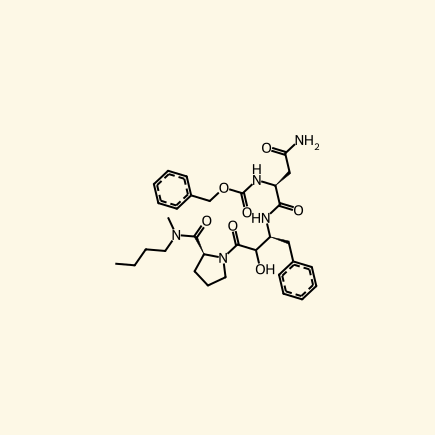 CCCCN(C)C(=O)[C@@H]1CCCN1C(=O)C(O)[C@H](Cc1ccccc1)NC(=O)[C@H](CC(N)=O)NC(=O)OCc1ccccc1